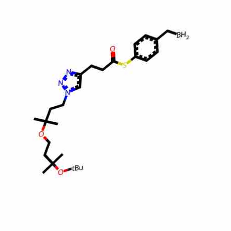 BCc1ccc(SC(=O)CCc2cn(CCC(C)(C)OCCC(C)(C)OC(C)(C)C)nn2)cc1